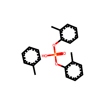 Cc1ccccc1.Cc1ccccc1OP(=O)(O)Oc1ccccc1C